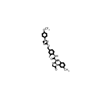 CCCc1ccc(C)cc1N1C(=O)CSC1NC(=O)Nc1ccc(COc2ncn(-c3ccc(OC(F)(F)F)cc3)n2)cc1F